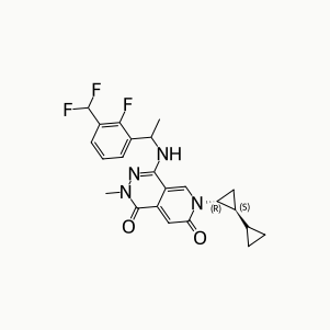 CC(Nc1nn(C)c(=O)c2cc(=O)n([C@@H]3C[C@H]3C3CC3)cc12)c1cccc(C(F)F)c1F